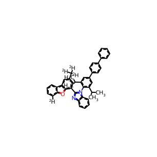 [2H]c1cccc2c1oc1c(-c3nc4ccccc4n3-c3c(C(C)C)cc(-c4ccc(-c5ccccc5)cc4)cc3C(C)C)cc(C([2H])([2H])[2H])cc12